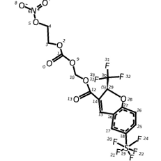 O=C(OCCO[N+](=O)[O-])OCOC(=O)C1=Cc2cc(S(F)(F)(F)(F)F)ccc2O[C@@H]1C(F)(F)F